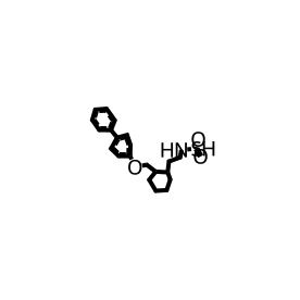 O=[SH](=O)NCCC1CCCCC1COc1ccc(-c2ccccc2)cc1